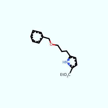 CCOC(=O)c1ccc(CCCOCc2ccccc2)[nH]1